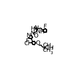 CC(C)(O)CCCOc1ccc(Cl)c(-c2cc(NC(=O)c3nnc(Cc4ccccc4F)[nH]3)ncc2F)c1